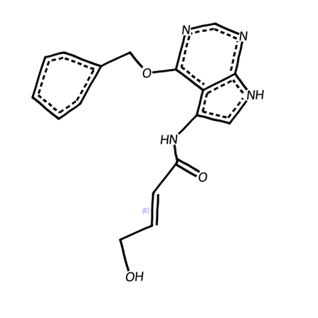 O=C(/C=C/CO)Nc1c[nH]c2ncnc(OCc3ccccc3)c12